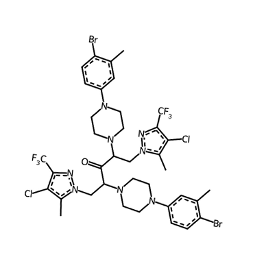 Cc1cc(N2CCN(C(Cn3nc(C(F)(F)F)c(Cl)c3C)C(=O)C(Cn3nc(C(F)(F)F)c(Cl)c3C)N3CCN(c4ccc(Br)c(C)c4)CC3)CC2)ccc1Br